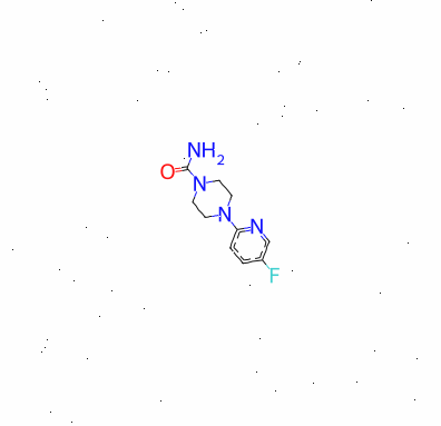 NC(=O)N1CCN(c2ccc(F)cn2)CC1